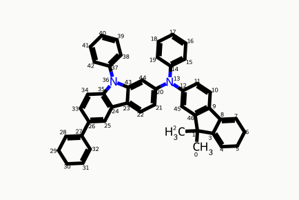 CC1(C)C2=CCCC=C2c2ccc(N(c3ccccc3)c3ccc4c5cc(C6=CCCC=C6)ccc5n(-c5ccccc5)c4c3)cc21